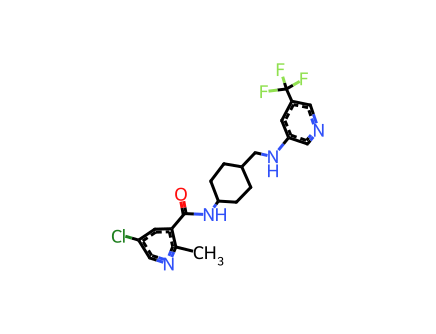 Cc1ncc(Cl)cc1C(=O)NC1CCC(CNc2cncc(C(F)(F)F)c2)CC1